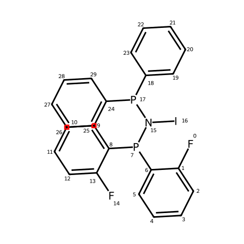 Fc1ccccc1P(c1ccccc1F)N(I)P(c1ccccc1)c1ccccc1